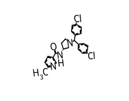 Cc1ccc(C(=O)N[C@@H]2CCN(C(c3ccc(Cl)cc3)c3ccc(Cl)cc3)C2)cn1